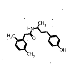 Cc1ccc(C)c(CC(=O)NC(C)CCc2ccc(O)cc2)c1